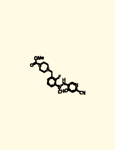 COC(=O)N1CCN(Cc2cccc(N(C=O)Nc3ccc(C#N)nc3)c2F)CC1